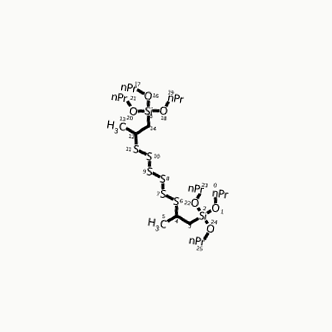 CCCO[Si](CC(C)SSSSSSC(C)C[Si](OCCC)(OCCC)OCCC)(OCCC)OCCC